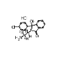 Cl.[2H]C([2H])(N)C([2H])([2H])N1C(=O)c2ccccc2C1(O)c1ccc(Cl)cc1